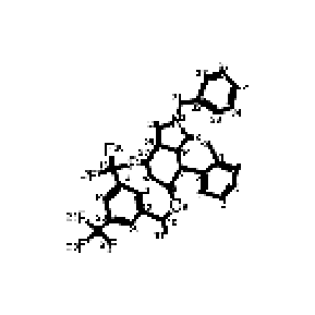 Cc1ccccc1C1C(OC(C)c2cc(C(F)(F)F)cc(C(F)(F)F)c2)CCC2CN(Cc3ccccc3)CC21